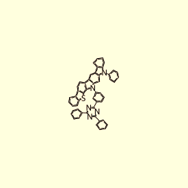 c1ccc(-c2nc(-c3ccccc3)nc(-c3cccc(-n4c5cc6c(cc5c5ccc7c8ccccc8sc7c54)c4ccccc4n6-c4ccccc4)c3)n2)cc1